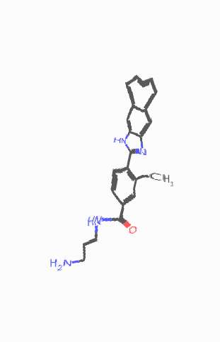 Cc1cc(C(=O)NCCCN)ccc1-c1nc2cc3ccccc3cc2[nH]1